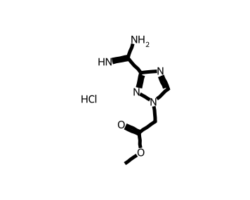 COC(=O)Cn1cnc(C(=N)N)n1.Cl